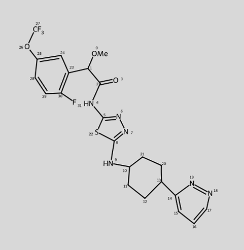 COC(C(=O)Nc1nnc(NC2CCC(c3cccnn3)CC2)s1)c1cc(OC(F)(F)F)ccc1F